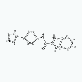 O=C(Nc1ccc(-c2cnco2)cc1)c1nc2ccccc2[nH]1